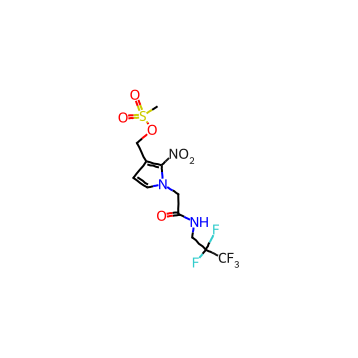 CS(=O)(=O)OCc1ccn(CC(=O)NCC(F)(F)C(F)(F)F)c1[N+](=O)[O-]